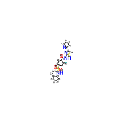 O=C(Nc1nc(-c2ccccn2)cs1)c1ccc(S(=O)(=O)C2CCc3ccccc3N2)cc1F